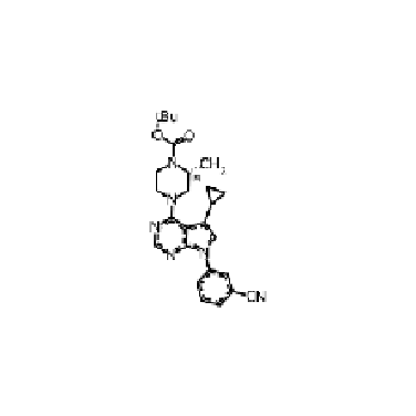 C[C@@H]1CN(c2ncnc3c2c(C2CC2)cn3-c2cccc(C#N)c2)CCN1C(=O)OC(C)(C)C